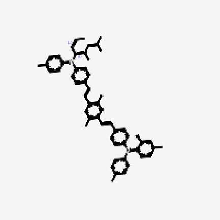 C/C=C\C(=C(\C)C=C(C)C)N(c1ccc(C)cc1)c1ccc(C=Cc2cc(C)c(C=Cc3ccc(N(c4ccc(C)cc4)c4ccc(C)cc4C)cc3)cc2C)cc1